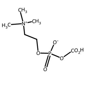 C[N+](C)(C)CCOP(=O)([O-])OC(=O)O